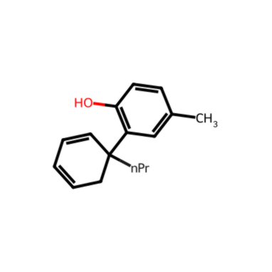 CCCC1(c2cc(C)ccc2O)C=CC=CC1